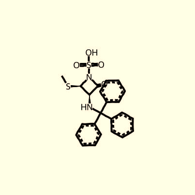 CS[C@@H]1[C@H](NC(c2ccccc2)(c2ccccc2)c2ccccc2)C(=O)N1S(=O)(=O)O